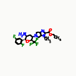 CCOC(=O)c1nc2c(n1C)CN([C@@H]1C[C@H](N)[C@@H](c3cc(F)ccc3F)O[C@@H]1C(F)(F)F)C2